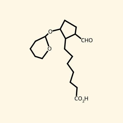 O=CC1CCC(OC2CCCCO2)C1CCCCCCC(=O)O